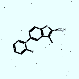 Cc1c(C(=O)O)oc2ccc(-c3ccccc3F)cc12